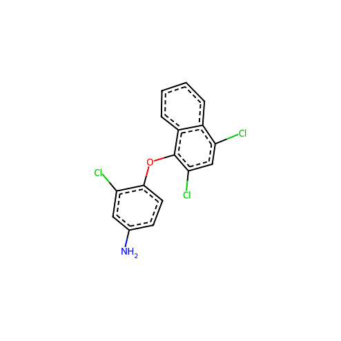 Nc1ccc(Oc2c(Cl)cc(Cl)c3ccccc23)c(Cl)c1